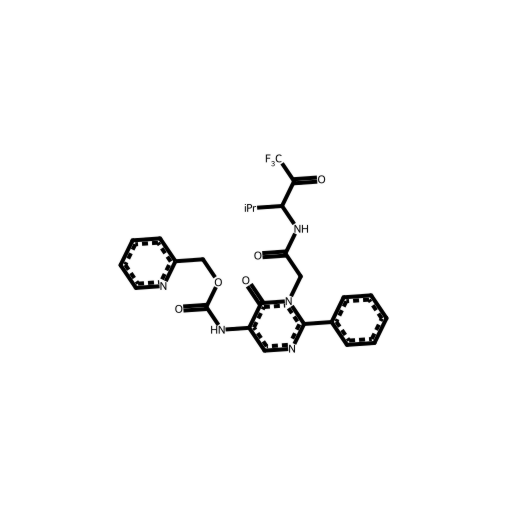 CC(C)C(NC(=O)Cn1c(-c2ccccc2)ncc(NC(=O)OCc2ccccn2)c1=O)C(=O)C(F)(F)F